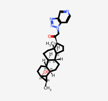 C[C@@H]1C2[C@@H]3CC[C@@H]4[C@H](CC[C@]5(C)[C@@H](C(=O)Cn6nnc7cnccc76)CC[C@@H]45)[C@H]3CC[C@@]21O